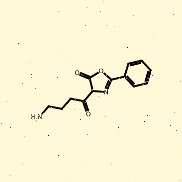 NCCCC(=O)C1N=C(c2ccccc2)OC1=O